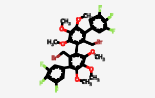 COc1c(OC)c(-c2cc(F)c(F)c(F)c2)c(CBr)c(-c2c(CBr)c(-c3cc(F)c(F)c(F)c3)c(OC)c(OC)c2OC)c1OC